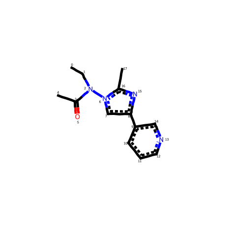 CCN(C(C)=O)n1cc(-c2cccnc2)nc1C